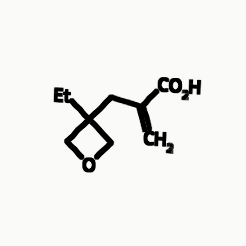 C=C(CC1(CC)COC1)C(=O)O